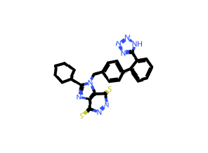 S=C1N=NC(=S)c2c1nc(C1CCCCC1)n2Cc1ccc(-c2ccccc2-c2nnn[nH]2)cc1